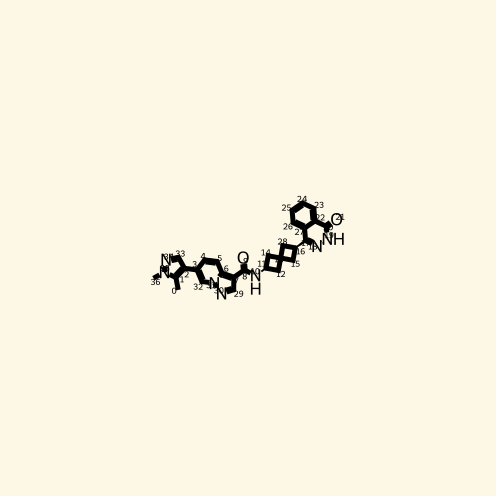 Cc1c(-c2ccc3c(C(=O)N[C@H]4CC5(C4)C[C@H](c4n[nH]c(=O)c6ccccc64)C5)cnn3c2)cnn1C